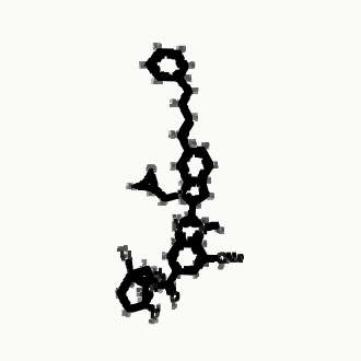 COc1cc(C(=O)N2C[C@H]3CC[C@@H]2[C@H]3N)cc2nc(-c3cc4ccc(/C=C/CCc5ccccc5)cc4n3CC3CC3)n(C)c12